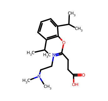 CC(C)c1cccc(C(C)C)c1OC(CCC(=O)O)=NCCN(C)C